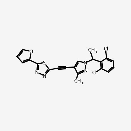 Cc1nn(C(C)c2c(Cl)cccc2Cl)cc1C#Cc1nnc(-c2ccco2)s1